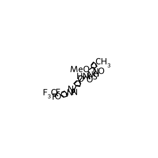 COCc1ccc(C)cc1N1C(=O)CS/C1=N\C(=O)NCOc1ccc(-c2ncn(-c3ccc(OC(F)(F)C(F)(F)F)cc3)n2)cc1